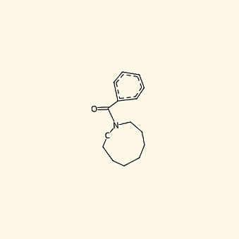 O=C(c1ccccc1)N1CCCCCCCC1